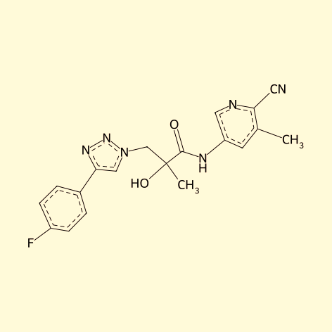 Cc1cc(NC(=O)C(C)(O)Cn2cc(-c3ccc(F)cc3)nn2)cnc1C#N